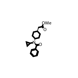 COC(=O)C[C@H]1CC[C@H](N(C(=O)c2ccccc2)C2CC2)CC1